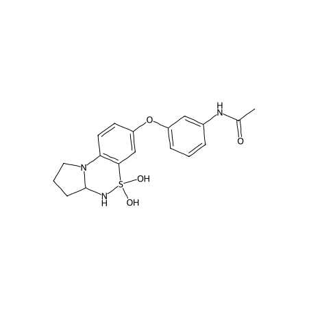 CC(=O)Nc1cccc(Oc2ccc3c(c2)S(O)(O)NC2CCCN32)c1